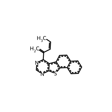 C=C(/C=C\C)c1ncnc2sc3c4ccccc4ccc3c12